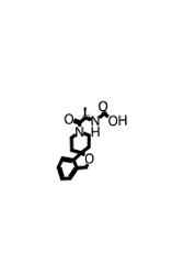 C[C@@H](NC(=O)O)C(=O)N1CCC2(CC1)OCc1ccccc12